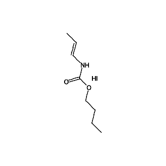 CC=CNC(=O)OCCCC.I